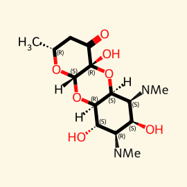 CN[C@@H]1[C@H](O)[C@H](NC)[C@@H]2O[C@@]3(O)C(=O)C[C@@H](C)O[C@H]3O[C@@H]2[C@H]1O